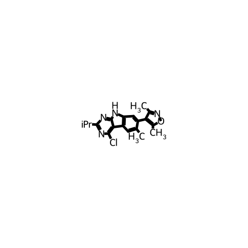 Cc1cc2c(cc1-c1c(C)noc1C)[nH]c1nc(C(C)C)nc(Cl)c12